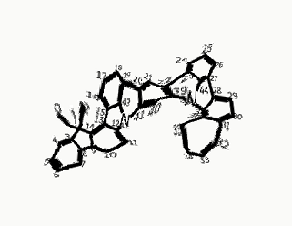 CC1(C)c2ccccc2-c2ccc3c(c21)c1cccc2c4cc5c6cccc7c8ccc9ccccc9c8n(c5cc4n3c21)c67